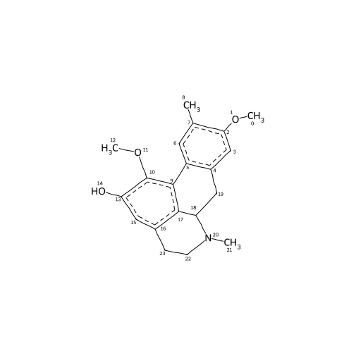 COc1cc2c(cc1C)-c1c(OC)c(O)cc3c1C(C2)N(C)CC3